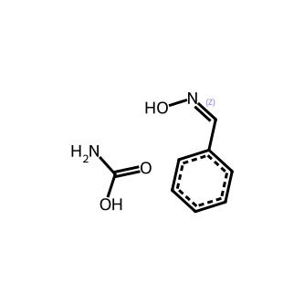 NC(=O)O.O/N=C\c1ccccc1